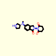 CN(c1ccc2c(c1)CN(N1C(=O)CCCC1=O)C2=O)[C@@H]1CCNC1